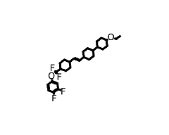 CCOC1CCC(C2CCC(/C=C/C3CCC(C(F)(F)Oc4ccc(F)c(F)c4)CC3)CC2)CC1